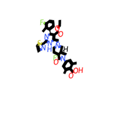 CCOC(=O)C1=C(CN2CC[C@]3(F)C(=O)N(c4cc(C)c(C(=O)O)c(C)c4)C[C@@H]3C2)NC(c2nccs2)=N[C@H]1c1cccc(F)c1C